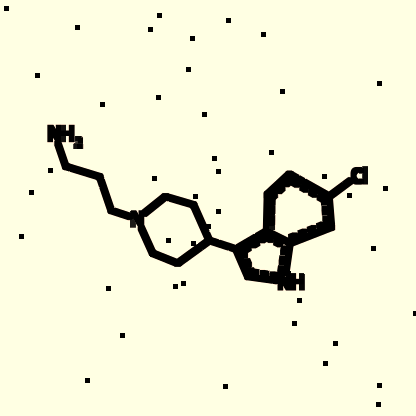 NCCCN1CCC(c2c[nH]c3cc(Cl)ccc23)CC1